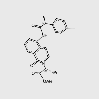 COC(=O)[C@@H](C(C)C)n1ccc2c(NC(=O)[C@@H](C)c3ccc(C)cc3)cccc2c1=O